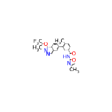 Cc1coc(NC(=O)c2ccc(C)c(-c3ccc4c(OC(C)C(F)(F)F)nncc4c3)c2)n1